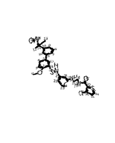 COc1ccc(-c2cccc(C(C)(C)N=O)c2)cc1SNc1cccc(NCCNC(=O)c2sccc2Cl)c1